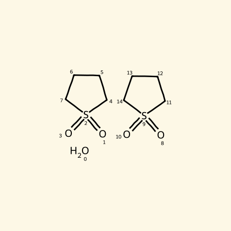 O.O=S1(=O)CCCC1.O=S1(=O)CCCC1